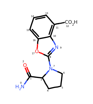 NC(=O)C1CCCN1c1nc2c(C(=O)O)cccc2o1